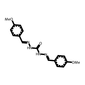 COc1ccc(C=NNC(=O)NN=Cc2ccc(OC)cc2)cc1